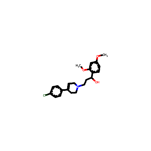 COc1ccc(C(O)CCN2CC=C(c3ccc(Cl)cc3)CC2)c(OC)c1